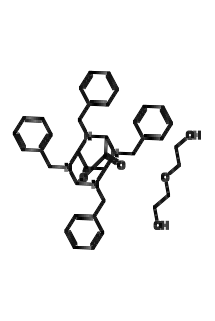 O=C1C2N(Cc3ccccc3)C3C(=O)C(N2Cc2ccccc2)N(Cc2ccccc2)C1N3Cc1ccccc1.OCCOCCO